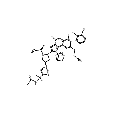 CC(=O)NC(C)(C)c1cn(C2CC(c3cc4c(C)nc5c(F)c(-c6cccc(Cl)c6Cl)c(CCC#N)cc5c4n3C3C4CNC3C4)N(C(=O)C3CC3)C2)nn1